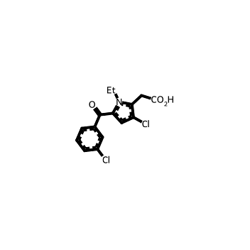 CCn1c(C(=O)c2cccc(Cl)c2)cc(Cl)c1CC(=O)O